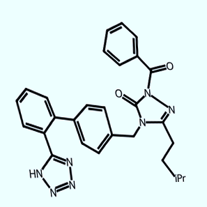 CC(C)CCc1nn(C(=O)c2ccccc2)c(=O)n1Cc1ccc(-c2ccccc2-c2nnn[nH]2)cc1